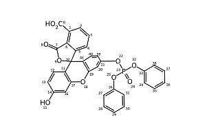 O=C(O)c1cccc2c1C(=O)OC21c2ccc(O)cc2Oc2cc(OP(=O)(Oc3ccccc3)Oc3ccccc3)ccc21